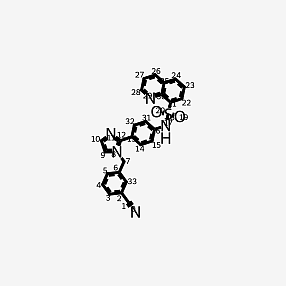 N#Cc1cccc(Cn2ccnc2-c2ccc(NS(=O)(=O)c3cccc4cccnc34)cc2)c1